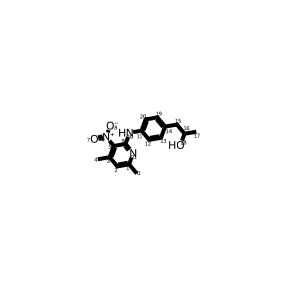 Cc1cc(C)c([N+](=O)[O-])c(Nc2ccc(CC(C)O)cc2)n1